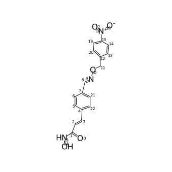 O=C(/C=C/c1ccc(C=NOCc2ccc([N+](=O)[O-])cc2)cc1)NO